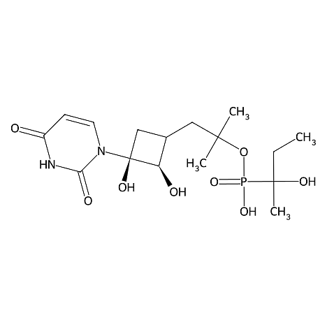 CCC(C)(O)P(=O)(O)OC(C)(C)CC1C[C@@](O)(n2ccc(=O)[nH]c2=O)[C@@H]1O